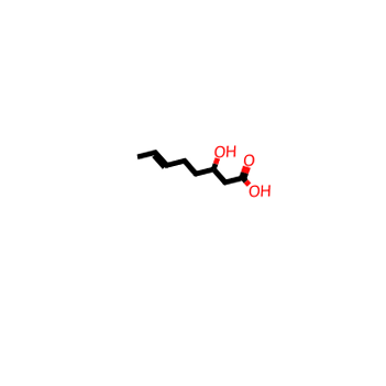 C/C=C/CCC(O)CC(=O)O